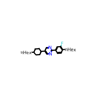 CCCCCCc1ccc(-c2ncc(C3CCC(CCCCCC)CC3)cn2)cc1F